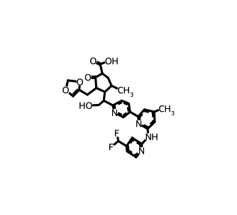 Cc1cc(Nc2cc(C(F)F)ccn2)nc(-c2ccc(C(CO)C3C(C)CC(C(=O)O)C(=O)C3CC3=COCO3)nc2)c1